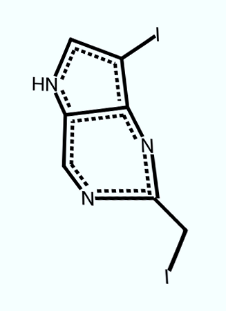 ICc1ncc2[nH]cc(I)c2n1